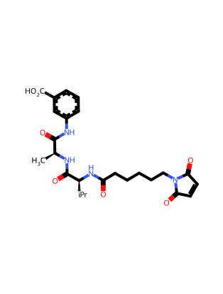 CC(C)[C@H](NC(=O)CCCCCN1C(=O)C=CC1=O)C(=O)N[C@@H](C)C(=O)Nc1cccc(C(=O)O)c1